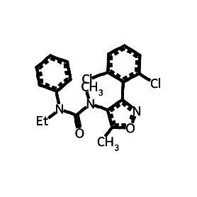 CCN(C(=O)N(C)c1c(-c2c(Cl)cccc2Cl)noc1C)c1ccccc1